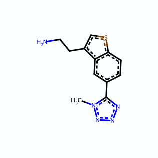 Cn1nnnc1-c1ccc2scc(CCN)c2c1